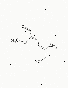 CO/C(C=O)=C\C=C(/C)CO